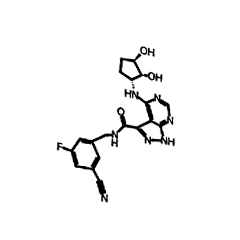 N#Cc1cc(F)cc(CNC(=O)c2n[nH]c3ncnc(N[C@@H]4CC[C@@H](O)[C@H]4O)c23)c1